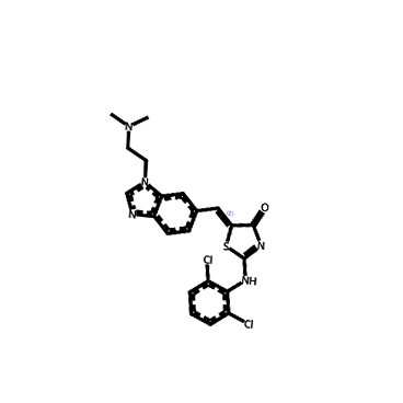 CN(C)CCn1cnc2ccc(/C=C3\SC(Nc4c(Cl)cccc4Cl)=NC3=O)cc21